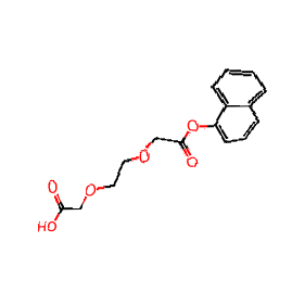 O=C(O)COCCOCC(=O)Oc1cccc2ccccc12